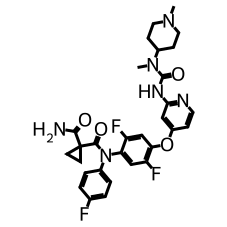 CN1CCC(N(C)C(=O)Nc2cc(Oc3cc(F)c(N(C(=O)C4(C(N)=O)CC4)c4ccc(F)cc4)cc3F)ccn2)CC1